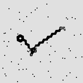 CCCCCCCCCCCCC[C@@H]1OC(=O)[C@@H]1CCCCc1ccccc1